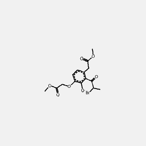 COC(=O)COc1ccc(CC(=O)OC)c(C(=O)C(C)Br)c1[O]